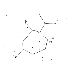 CC(C)C1C(F)CC(F)CC[C@H]1C